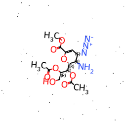 COC(=O)C1=C[C@H](N=[N+]=[N-])[C@@H](N)[C@H]([C@H](OC(C)=O)[C@@H](CO)OC(C)=O)O1